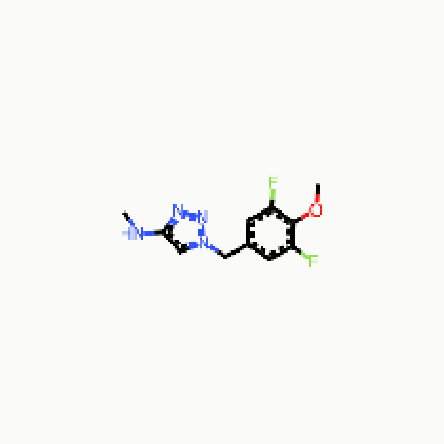 CNc1cn(Cc2cc(F)c(OC)c(F)c2)nn1